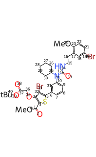 COC(=O)c1sc(-c2cccc(N(C(=O)NCCc3cc(Br)ccc3OC)C3CCCCC3)c2)c(Br)c1OCC(=O)OC(C)(C)C